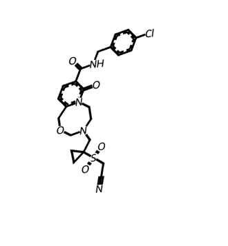 N#CCS(=O)(=O)C1(CN2CCn3c(ccc(C(=O)NCc4ccc(Cl)cc4)c3=O)COC2)CC1